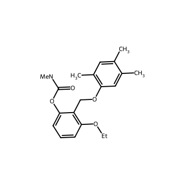 CCOc1cccc(OC(=O)NC)c1COc1cc(C)c(C)cc1C